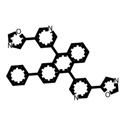 c1ccc(-c2ccc3c(-c4cncc(-c5cnco5)c4)c4ccccc4c(-c4cncc(-c5cnco5)c4)c3c2)cc1